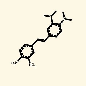 CN(C)c1ccc(C=Cc2ccc([N+](=O)[O-])c([N+](=O)[O-])c2)cc1N(C)C